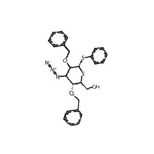 [N-]=[N+]=NC1C(OCc2ccccc2)[C@@H](Sc2ccccc2)SC(CO)[C@@H]1OCc1ccccc1